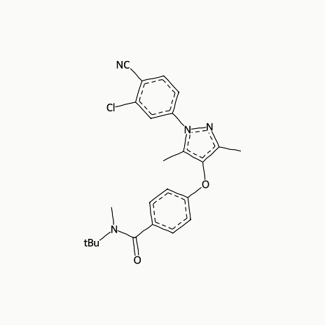 Cc1nn(-c2ccc(C#N)c(Cl)c2)c(C)c1Oc1ccc(C(=O)N(C)C(C)(C)C)cc1